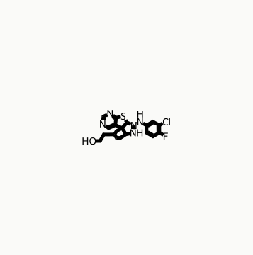 OCCC1CCC2NN(Nc3ccc(F)c(Cl)c3)C3Sc4ncncc4C23C1